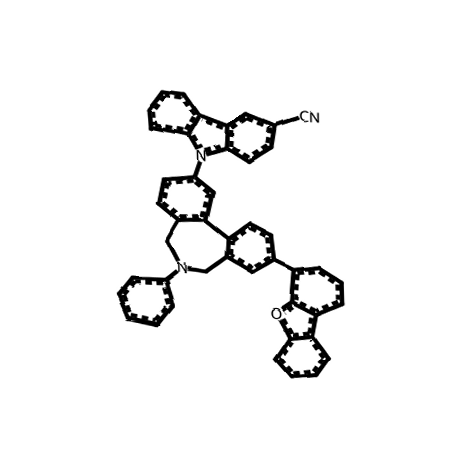 N#Cc1ccc2c(c1)c1ccccc1n2-c1ccc2c(c1)-c1ccc(-c3cccc4c3oc3ccccc34)cc1CN(c1ccccc1)C2